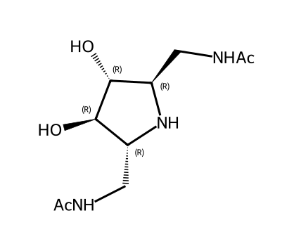 CC(=O)NC[C@H]1N[C@H](CNC(C)=O)[C@@H](O)[C@@H]1O